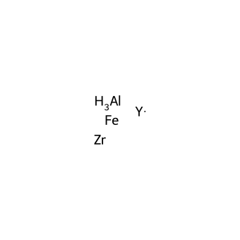 [AlH3].[Fe].[Y].[Zr]